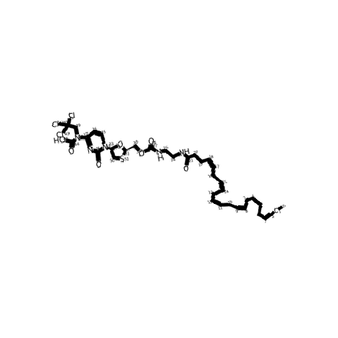 CC/C=C\C/C=C\C/C=C\C/C=C\C/C=C\C/C=C\CCC(=O)NCCNC(=O)OC[C@@H]1O[C@H](n2ccc(N(CC(Cl)(Cl)Cl)C(=O)O)nc2=O)CS1